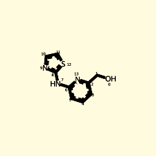 OCc1cccc(Nc2nccs2)n1